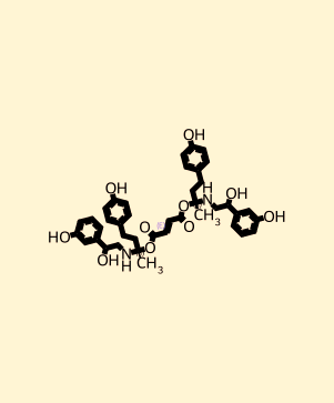 C[C@@](CCc1ccc(O)cc1)(NCC(O)c1cccc(O)c1)OC(=O)/C=C/C(=O)O[C@](C)(CCc1ccc(O)cc1)NCC(O)c1cccc(O)c1